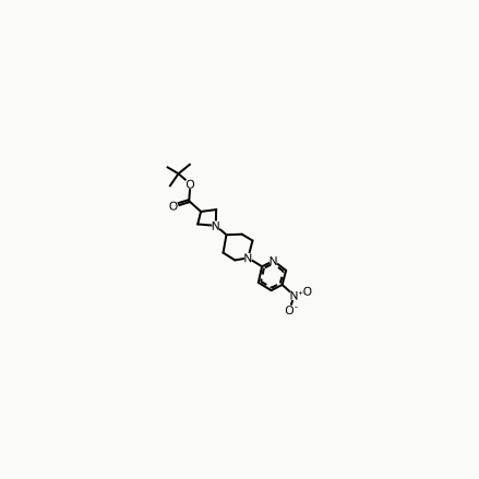 CC(C)(C)OC(=O)C1CN(C2CCN(c3ccc([N+](=O)[O-])cn3)CC2)C1